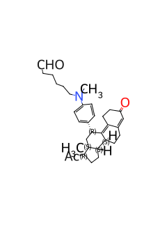 CC(=O)[C@@H]1CC[C@H]2[C@@H]3CCC4=CC(=O)CCC4=C3[C@@H](c3ccc(N(C)CCCCCC=O)cc3)C[C@]12C